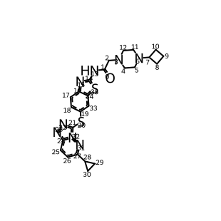 O=C(CN1CCN(C2CCC2)CC1)Nc1nc2ccc(Sc3nnc4ccc(C5CC5)nn34)cc2s1